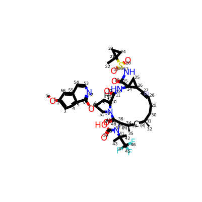 COc1ccc2c(O[C@@H]3C[C@H]4C(=O)NC5(C(=O)NS(=O)(=O)C6(C)CC6)CC5/C=C\CC[C@@H](C)C[C@@H](C)[C@H](N(C(=O)O)C(C)(C)C(F)(F)F)C(=O)N4C3)nccc2c1